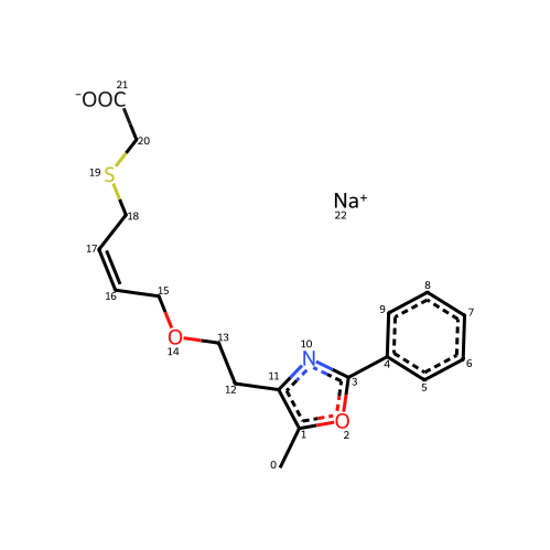 Cc1oc(-c2ccccc2)nc1CCOC/C=C\CSCC(=O)[O-].[Na+]